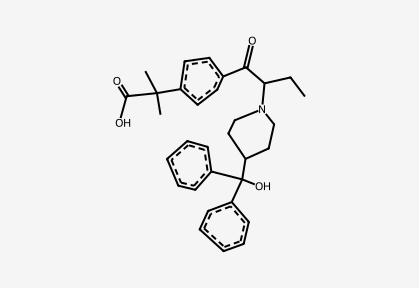 CCC(C(=O)c1ccc(C(C)(C)C(=O)O)cc1)N1CCC(C(O)(c2ccccc2)c2ccccc2)CC1